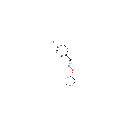 Clc1ccc(/[C]=N/OC2CCCC2)cc1